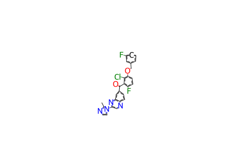 Cc1nccn1-c1cnc2ccc(C(=O)c3c(F)ccc(OCc4cccc(F)c4)c3Cl)cc2n1